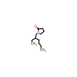 CCCCC(CC)CN1CCCC1=O